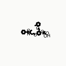 Cc1ccccc1OCc1cc(OCCc2nc(-c3ccccc3)oc2C)ccc1OC(C)(C)C(=O)O